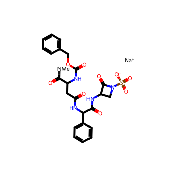 CNC(=O)C(CC(=O)NC(C(=O)NC1CN(S(=O)(=O)[O-])C1=O)c1ccccc1)NC(=O)OCc1ccccc1.[Na+]